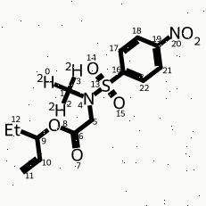 [2H]C([2H])([2H])N(CC(=O)OC(C=C)CC)S(=O)(=O)c1ccc([N+](=O)[O-])cc1